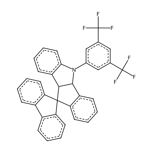 FC(F)(F)c1cc(N2c3ccccc3C3C2c2ccccc2C32c3ccccc3-c3ccccc32)cc(C(F)(F)F)c1